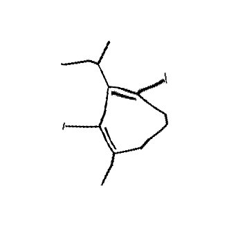 CC1=C(I)C(C(C)C)=C(I)CC1